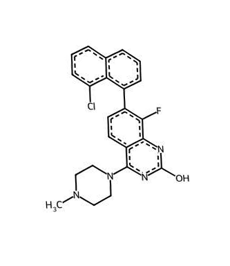 CN1CCN(c2nc(O)nc3c(F)c(-c4cccc5cccc(Cl)c45)ccc23)CC1